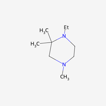 CCN1CCN(C)CC1(C)C